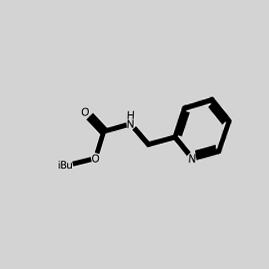 CCC(C)OC(=O)NCc1ccccn1